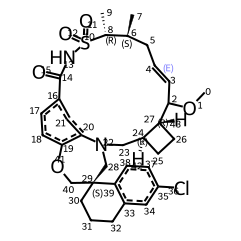 COC1/C=C/C[C@H](C)[C@@H](C)S(=O)(=O)NC(=O)c2ccc3c(c2)N(C[C@@H]2CC[C@@H]12)C[C@@]1(CCCc2cc(Cl)ccc21)CO3